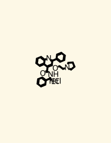 CCC(NC(=O)c1c(OCCN2CCCC2)c(-c2ccccc2)nc2ccccc12)c1ccccc1.Cl